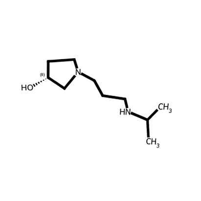 CC(C)NCCCN1CC[C@@H](O)C1